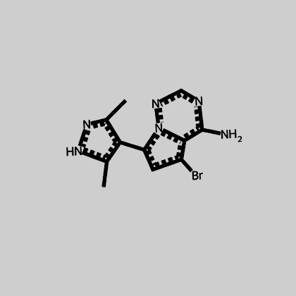 Cc1n[nH]c(C)c1-c1cc(Br)c2c(N)ncnn12